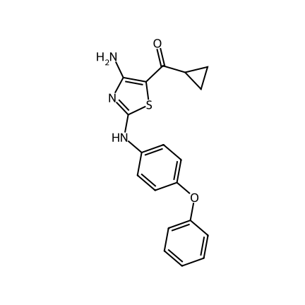 Nc1nc(Nc2ccc(Oc3ccccc3)cc2)sc1C(=O)C1CC1